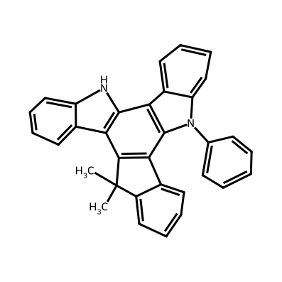 CC1(C)c2ccccc2-c2c1c1c3ccccc3[nH]c1c1c3ccccc3n(-c3ccccc3)c21